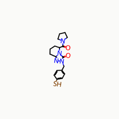 O=C(C1CCCc2nn(Cc3ccc(S)cc3)c(=O)n21)N1CCCC1